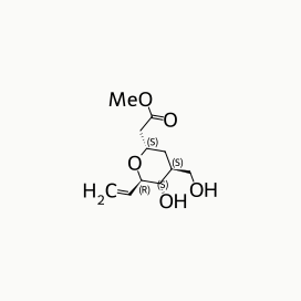 C=C[C@H]1O[C@H](CC(=O)OC)C[C@@H](CO)[C@@H]1O